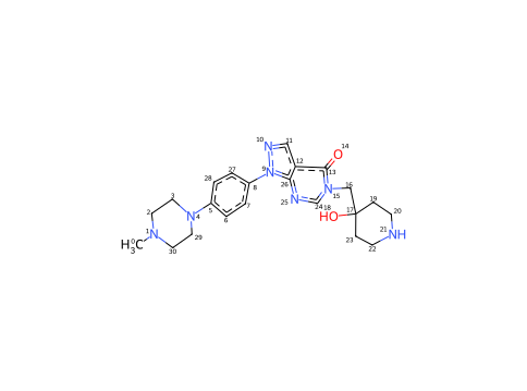 CN1CCN(c2ccc(-n3ncc4c(=O)n(CC5(O)CCNCC5)cnc43)cc2)CC1